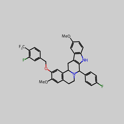 COc1ccc2[nH]c3c(c2c1)CC1c2cc(OCc4ccc(C(F)(F)F)c(F)c4)c(OC)cc2CCN1C3c1ccc(F)cc1